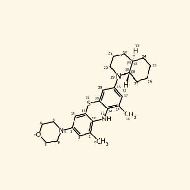 Cc1cc(N2CCOCC2)cc2c1Nc1c(C)cc(N3CCC[C@H]4CCCC[C@@H]43)cc1S2